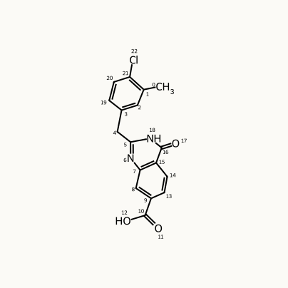 Cc1cc(Cc2nc3cc(C(=O)O)ccc3c(=O)[nH]2)ccc1Cl